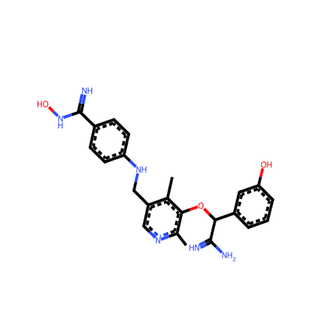 Cc1ncc(CNc2ccc(C(=N)NO)cc2)c(C)c1OC(C(=N)N)c1cccc(O)c1